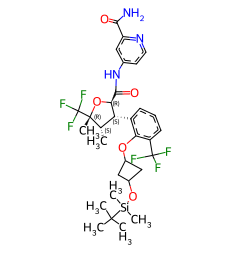 C[C@H]1[C@@H](c2cccc(C(F)(F)F)c2OC2CC(O[Si](C)(C)C(C)(C)C)C2)[C@H](C(=O)Nc2ccnc(C(N)=O)c2)O[C@@]1(C)C(F)(F)F